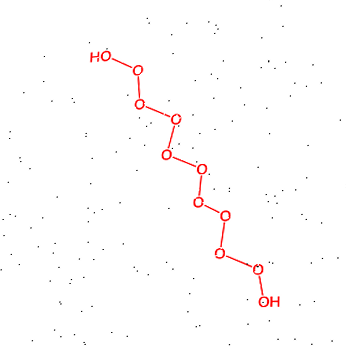 OOOOOOOOOOO